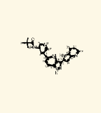 CC(C)(C)C(=O)Nc1cncc(-c2ccc3[nH]nc(-c4cc5ncccc5[nH]4)c3n2)c1